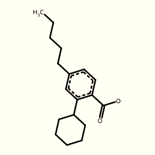 CCCCCc1ccc(C([O])=O)c(C2CCCCC2)c1